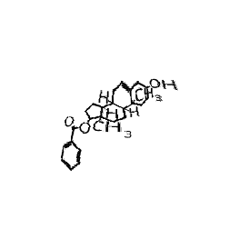 C[C@]12CCC(O)CC1=CC[C@@H]1[C@H]2CC[C@]2(C)C(OC(=O)c3ccccc3)CC[C@@H]12